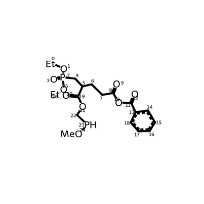 CCOP(=O)(CC(CCC(=O)OC(=O)c1ccccc1)C(=O)OCPOC)OCC